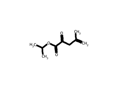 C=C(C)CC(=O)C(=O)OC(C)C